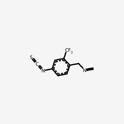 C=NCc1ccc(N=C=S)cc1C(F)(F)F